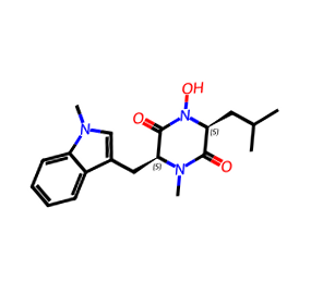 CC(C)C[C@H]1C(=O)N(C)[C@@H](Cc2cn(C)c3ccccc23)C(=O)N1O